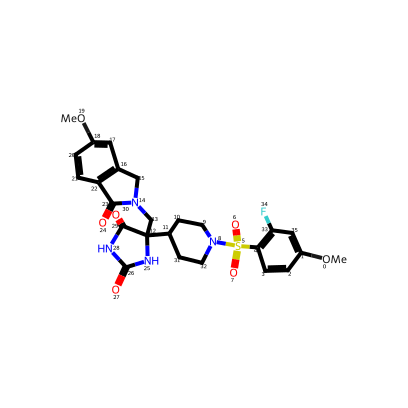 COc1ccc(S(=O)(=O)N2CCC(C3(CN4Cc5cc(OC)ccc5C4=O)NC(=O)NC3=O)CC2)c(F)c1